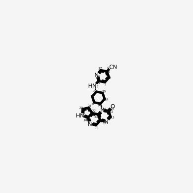 N#Cc1ccc(N[C@H]2CC[C@H](n3c(=O)cnc4cnc5[nH]ccc5c43)CC2)nc1